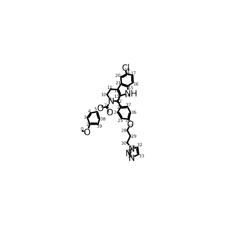 COc1ccc(OC(=O)N2CCc3c([nH]c4ccc(Cl)cc34)C2c2ccc(OCCCn3ccnn3)cc2)cc1